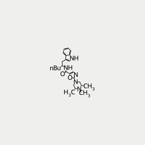 CCCCC(Cc1c[nH]c2ccccc12)NC(=O)c1cnc(N2C[C@@H](C)N(C)[C@H](C)C2)o1